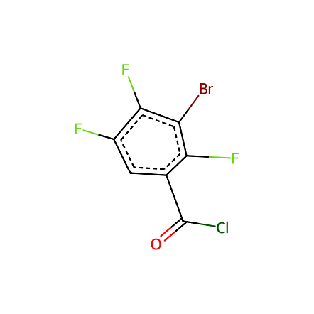 O=C(Cl)c1cc(F)c(F)c(Br)c1F